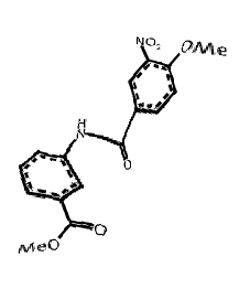 COC(=O)c1cccc(NC(=O)c2ccc(OC)c([N+](=O)[O-])c2)c1